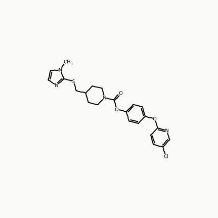 Cn1ccnc1SCC1CCN(C(=O)Oc2ccc(Oc3ccc(Cl)cn3)cc2)CC1